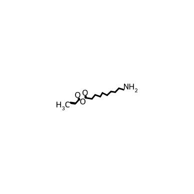 CC=CC(=O)OC(=O)CCCCCCCCCN